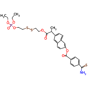 CCOP(=O)(OCC)OCCSSCCOC(=O)C(C)c1ccc2cc(OC(=O)c3ccc(C(N)=S)cc3)ccc2c1